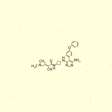 CN(C)C/C=C(\C#N)C(=O)N[C@H]1C[C@H](Nc2ncnc(N)c2-c2ccc(Oc3ccccc3)cc2)C1